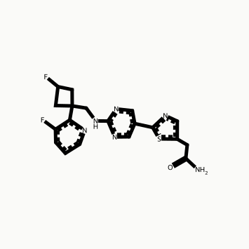 NC(=O)Cc1cnc(-c2cnc(NCC3(c4ncccc4F)CC(F)C3)nc2)s1